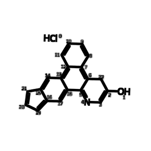 Cl.OC1=CN=c2c(c3ccccc3c3cc4c(cc23)=CC=C4)C1